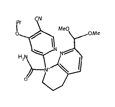 COC(OC)c1ccc2c(n1)[N+](C(N)=O)(c1cc(OC(C)C)c(C#N)cn1)CCC2